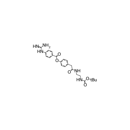 CC(C)(C)OC(=O)NCCNC(=O)Cc1ccc(OC(=O)c2ccc(NC(=N)N)cc2)cc1